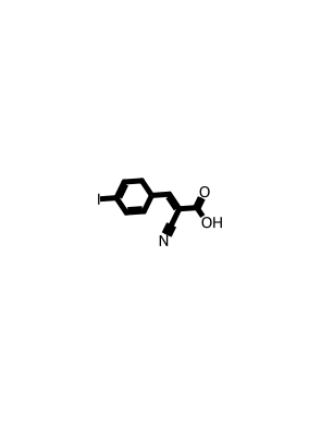 N#C/C(=C\C1C=CC(I)=CC1)C(=O)O